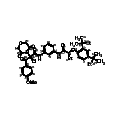 CCC(Oc1ccc(C(C)(C)CC)cc1C(C)(C)CC)C(=O)Nc1cccc(NC(=O)C(Cl)(C(=O)c2ccc(OC)cc2)N2C(=O)COCC2=O)c1